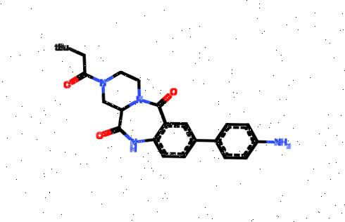 CC(C)(C)CC(=O)N1CCN2C(=O)c3cc(-c4ccc(N)cc4)ccc3NC(=O)C2C1